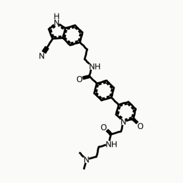 CN(C)CCNC(=O)Cn1cc(-c2ccc(C(=O)NCCc3ccc4[nH]cc(C#N)c4c3)cc2)ccc1=O